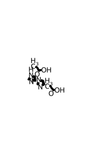 CCC(=O)O.CCC(=O)O.c1c[nH]cn1.c1c[nH]cn1